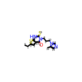 CCc1cc2c(=O)n(CCCn3cncc3C)c(=S)[nH]c2s1